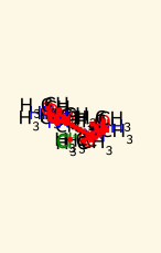 Cc1cc2nc3cc(C)c(N(CCCCCCCCCCCCN(C(=O)OC(C)(C)C)c4cc5c(cc4C)nc4cc(C)c(NC(=O)OC(C)(C)C)cc4[n+]5-c4ccccc4)C(=O)OC(C)(C)C)cc3[n+](-c3ccccc3)c2cc1NC(=O)OC(C)(C)C.[Cl-].[Cl-]